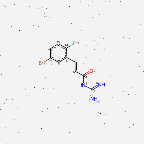 N=C(N)NC(=O)C=Cc1cc(Br)ccc1F